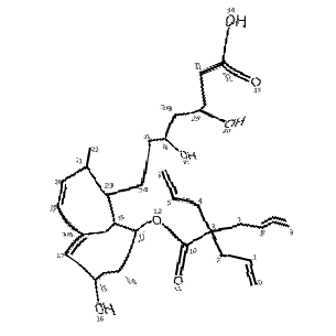 C=CCC(CC=C)(CC=C)C(=O)OC1CC(O)C=C2C=CC(C)C(CCC(O)CC(O)CC(=O)O)C21